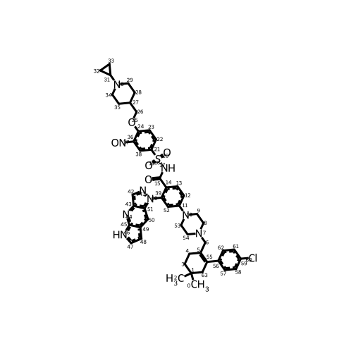 CC1(C)CCC(CN2CCN(c3ccc(C(=O)NS(=O)(=O)c4ccc(OCC5CCN(C6CC6)CC5)c(N=O)c4)c(-n4ncc5nc6[nH]ccc6cc54)c3)CC2)=C(c2ccc(Cl)cc2)C1